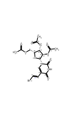 CC(=O)OC[C@H]1O[C@@H](n2cc(/C=C/Br)c(=O)[nH]c2=O)[C@H](OC(C)=O)[C@H]1OC(C)=O